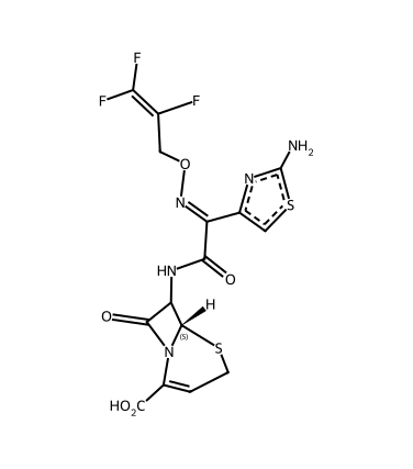 Nc1nc(C(=NOCC(F)=C(F)F)C(=O)NC2C(=O)N3C(C(=O)O)=CCS[C@@H]23)cs1